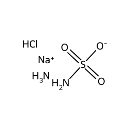 Cl.N.NS(=O)(=O)[O-].[Na+]